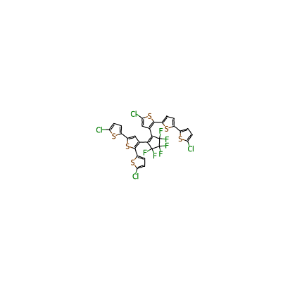 FC1(F)C(c2cc(Cl)sc2-c2ccc(-c3ccc(Cl)s3)s2)=C(c2cc(-c3ccc(Cl)s3)sc2-c2ccc(Cl)s2)C(F)(F)C1(F)F